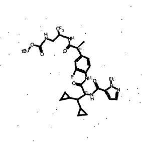 CCn1nccc1C(=O)N[C@H](C(=O)Nc1ccc([C@H](C)C(=O)NC(CNC(=O)OC(C)(C)C)C(F)(F)F)cc1F)C(C1CC1)C1CC1